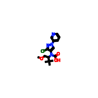 COCC(N(C(=O)O)c1cn(-c2cccnc2)nc1Cl)C(C)(C)C